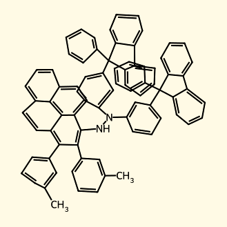 Cc1cccc(-c2c(NN(c3cccc(C4(c5ccccc5)c5ccccc5-c5ccccc54)c3)c3cccc(C4(c5ccccc5)c5ccccc5-c5ccccc54)c3)c3ccc4cccc5ccc(c2-c2cccc(C)c2)c3c45)c1